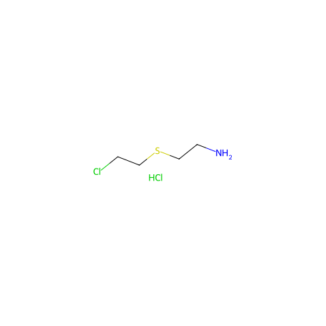 Cl.NCCSCCCl